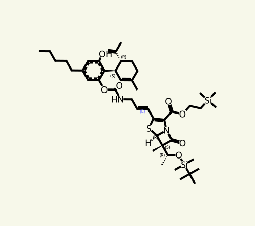 C=C(C)[C@@H]1CCC(C)=C[C@H]1c1c(O)cc(CCCCC)cc1OC(=O)NC/C=C/C1=C(C(=O)OCC[Si](C)(C)C)N2C(=O)[C@](C)([C@@H](C)O[Si](C)(C)C(C)(C)C)[C@H]2S1